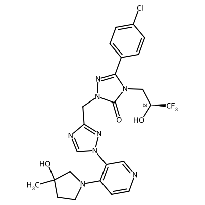 CC1(O)CCN(c2ccncc2-n2cnc(Cn3nc(-c4ccc(Cl)cc4)n(C[C@H](O)C(F)(F)F)c3=O)n2)C1